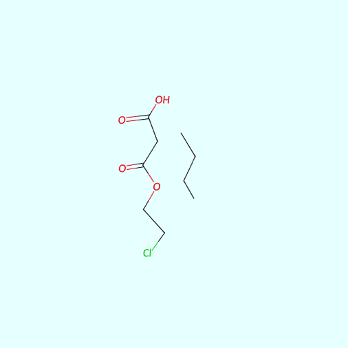 CCCC.O=C(O)CC(=O)OCCCl